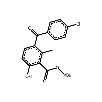 CCCCOC(=O)c1c(O)ccc(C(=O)c2ccc(Cl)cc2)c1C